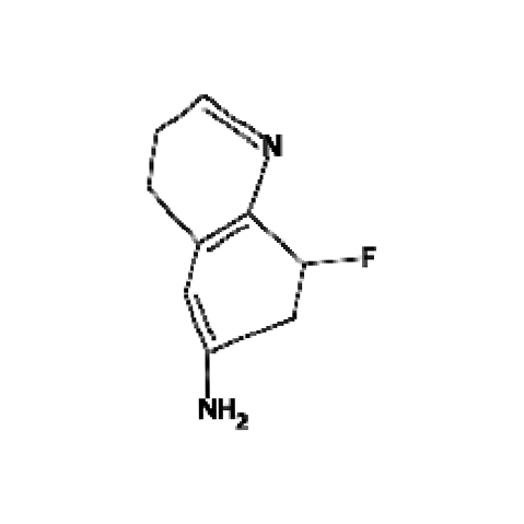 NC1=CC2=C(N=CCC2)C(F)C1